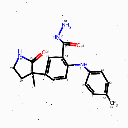 CC1(c2ccc(Nc3ccc(C(F)(F)F)cc3)c(C(=O)NN)c2)CCNC1=O